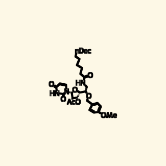 CCCCCCCCCCCCCCCC(=O)NC[C@@H](OCc1ccc(OC)cc1)[C@@H]1C[C@@H](OC(C)=O)[C@H](n2ccc(=O)[nH]c2=O)O1